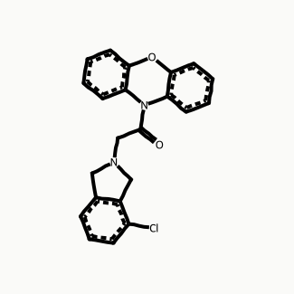 O=C(CN1Cc2cccc(Cl)c2C1)N1c2ccccc2Oc2ccccc21